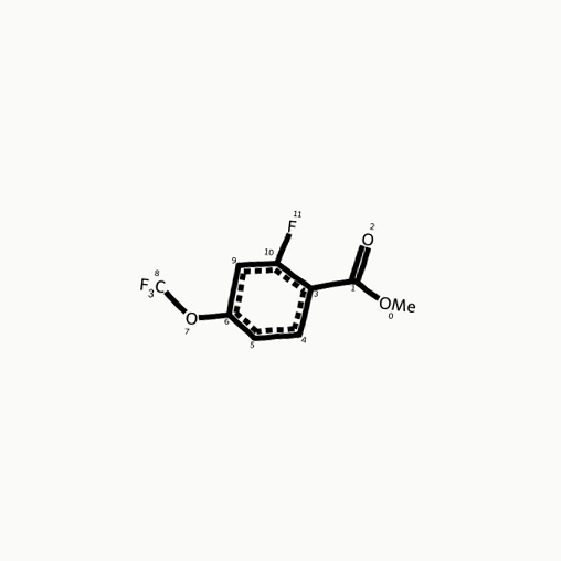 COC(=O)c1ccc(OC(F)(F)F)cc1F